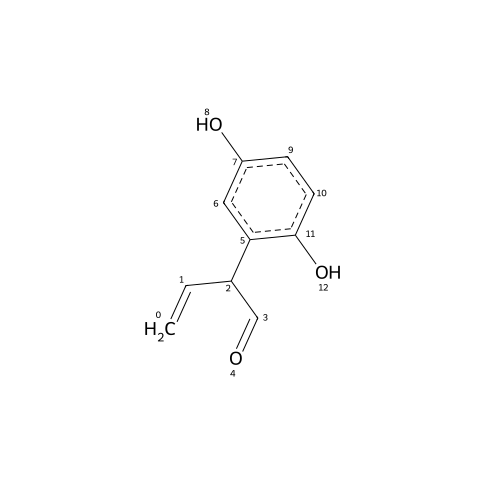 C=CC(C=O)c1cc(O)ccc1O